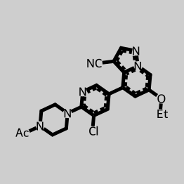 CCOc1cc(-c2cnc(N3CCN(C(C)=O)CC3)c(Cl)c2)c2c(C#N)cnn2c1